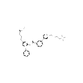 CC(C)OC(=O)CCCc1cn(-c2ccccc2)c(NC(=O)c2cccc(-c3cnn(COCC[Si](C)(C)C)c3)c2)n1